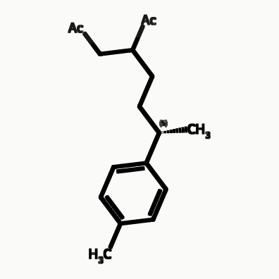 CC(=O)CC(CC[C@H](C)c1ccc(C)cc1)C(C)=O